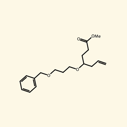 C=CCC(CCC(=O)OC)OCCCOCc1ccccc1